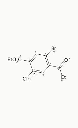 CCOC(=O)c1cc(Br)c(C(=O)CC)cc1Cl